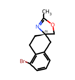 CC1=N[C@]2(CCc3c(Br)cccc3C2)CO1